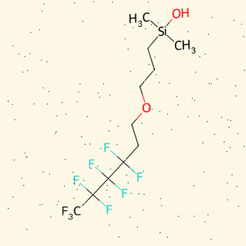 C[Si](C)(O)CCCOCCC(F)(F)C(F)(F)C(F)(F)C(F)(F)F